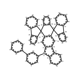 c1ccc(-c2cccc(-n3c4ccccc4c4cc5c(cc43)C3(c4ccccc4-c4ccccc43)c3ccccc3C53c4ccccc4-c4ccccc43)c2)cc1